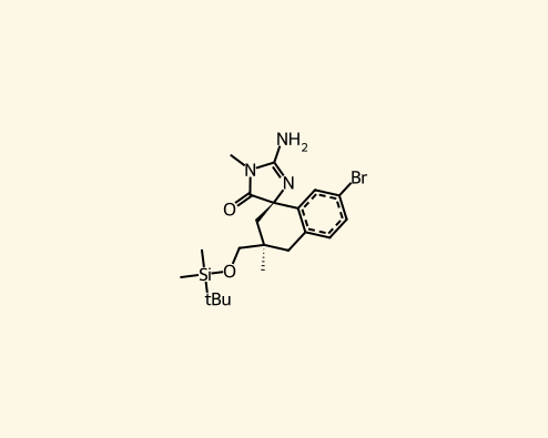 CN1C(=O)[C@]2(C[C@](C)(CO[Si](C)(C)C(C)(C)C)Cc3ccc(Br)cc32)N=C1N